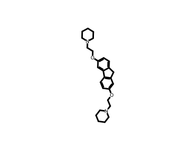 c1cc2c(cc1OCCN1CCCCC1)Cc1ccc(OCCN3CCCCC3)cc1-2